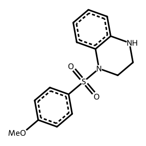 COc1ccc(S(=O)(=O)N2CCNc3ccccc32)cc1